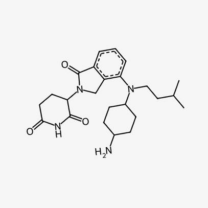 CC(C)CCN(c1cccc2c1CN(C1CCC(=O)NC1=O)C2=O)C1CCC(N)CC1